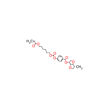 C=CC(=O)OCCCCCCOC(=O)Oc1ccc(C(=O)O[C@H]2COC3C2OC[C@H]3C)cc1